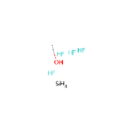 CO.F.F.F.F.[SiH4]